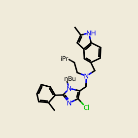 CCCCn1c(-c2ccccc2C)nc(Cl)c1CN(CCC(C)C)Cc1ccc2[nH]c(C)cc2c1